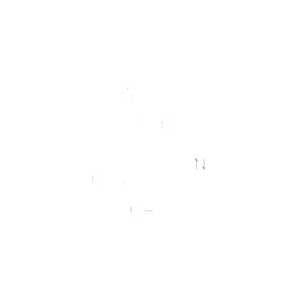 C[N+]1(C)CCCCC1.O=C([O-])C=CC(=O)O